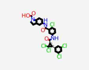 O=C(Nc1ccc2c(ccn2C(=O)O)c1)c1cc(NC(=O)[C@H]2[C@H](c3cc(Cl)cc(Cl)c3)C2(Cl)Cl)ccc1Cl